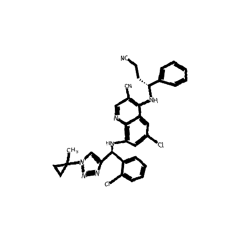 CC1(n2cc([C@@H](Nc3cc(Cl)cc4c(N[C@H](CCC#N)c5ccccc5)c(C#N)cnc34)c3ccccc3Cl)nn2)CC1